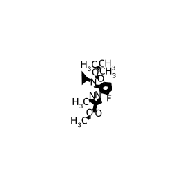 CCOC(=O)c1cn(-c2c(F)cccc2CN(C(=O)OC(C)(C)C)C2CC2)nc1C